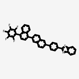 Fc1c(F)c(F)c(-c2ccc(-c3ccc4cc(-c5ccc(-c6nc7ccccc7s6)cc5)ccc4c3)c3ccccc23)c(F)c1F